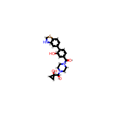 O=C(c1ccc(-c2ccc3c(c2)NCS3)c(O)c1)N1CCN(C(=O)C2(O)CC2)CC1